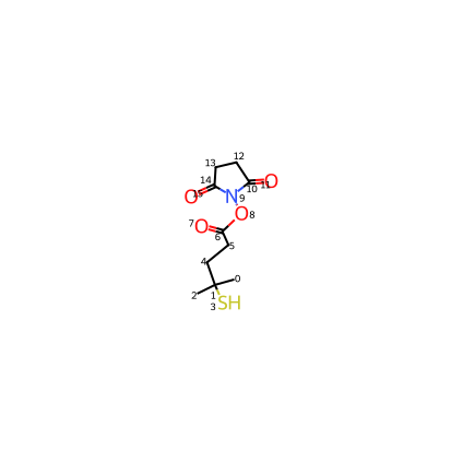 CC(C)(S)CCC(=O)ON1C(=O)CCC1=O